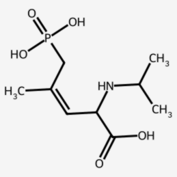 CC(=CC(NC(C)C)C(=O)O)CP(=O)(O)O